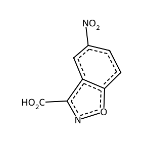 O=C(O)c1noc2ccc([N+](=O)[O-])cc12